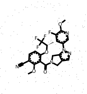 COc1ncc(-n2ncc3c2CN(C(=O)c2c(O[C@@H](C)C(F)(F)F)ccc(C#N)c2OC)C3)cc1F